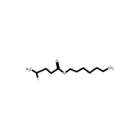 CCCCCCCOC(=O)CCC(C)I